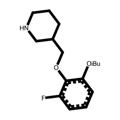 CC(C)COc1cccc(F)c1OCC1CCCNC1